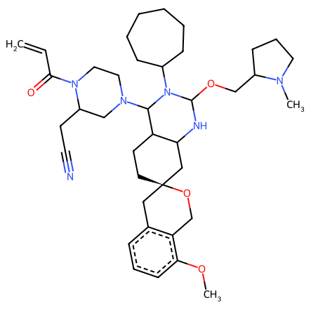 C=CC(=O)N1CCN(C2C3CC[C@@]4(Cc5cccc(OC)c5CO4)CC3NC(OCC3CCCN3C)N2C2CCCCCC2)CC1CC#N